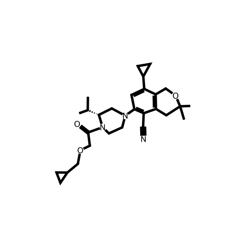 CC(C)[C@@H]1CN(c2cc(C3CC3)c3c(c2C#N)CC(C)(C)OC3)CCN1C(=O)COCC1CC1